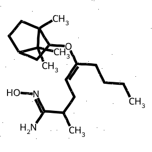 CCCCC(=CCC(C)C(N)=NO)OC1CC2CCC1(C)C2(C)C